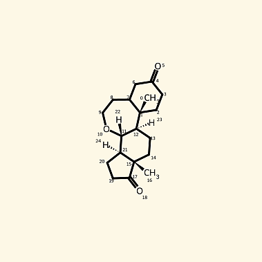 C[C@]12CCC(=O)CC1CCO[C@@H]1[C@@H]2CC[C@]2(C)C(=O)CC[C@@H]12